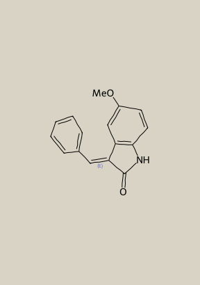 COc1ccc2c(c1)/C(=C\c1ccccc1)C(=O)N2